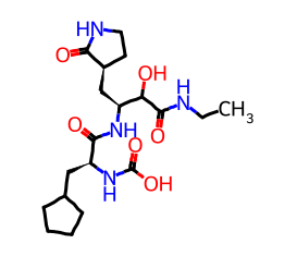 CCNC(=O)C(O)[C@H](C[C@@H]1CCNC1=O)NC(=O)[C@H](CC1CCCC1)NC(=O)O